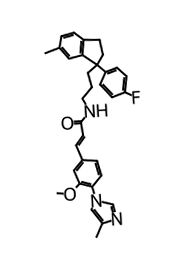 COc1cc(C=CC(=O)NCCCC2(c3ccc(F)cc3)CCc3ccc(C)cc32)ccc1-n1cnc(C)c1